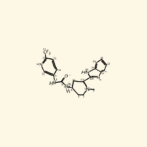 CN1CC[C@@H](NC(=O)Nc2ccc(C(F)(F)F)nc2)CC1c1nc2ccccc2[nH]1